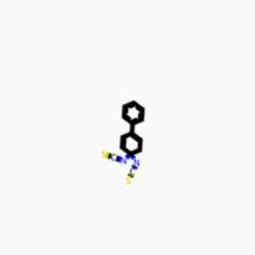 S=C=NC1(N=C=S)C=CC(c2ccccc2)=CC1